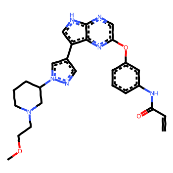 C=CC(=O)Nc1cccc(Oc2cnc3[nH]cc(-c4cnn(C5CCCN(CCOC)C5)c4)c3n2)c1